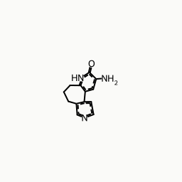 Nc1cc2c([nH]c1=O)CCCc1cnccc1-2